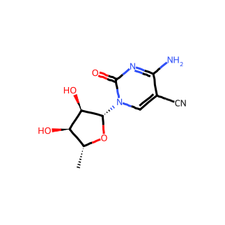 C[C@H]1O[C@@H](n2cc(C#N)c(N)nc2=O)[C@H](O)[C@@H]1O